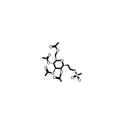 CC(=O)OC[C@H]1O[C@@H](CCSS(C)(=O)=O)[C@@H](OC(C)=O)[C@@H](OC(C)=O)[C@@H]1OC(C)=O